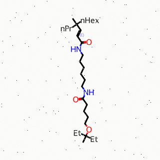 CCCCCCC(C)(/C=C/C(=O)NCCCCCCNC(=O)CCCCOC(C)(CC)CC)CCC